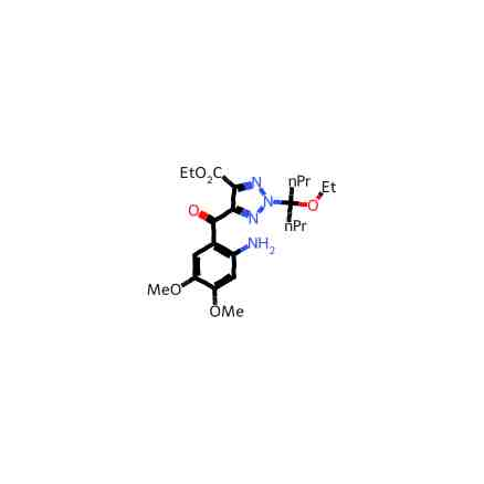 CCCC(CCC)(OCC)n1nc(C(=O)OCC)c(C(=O)c2cc(OC)c(OC)cc2N)n1